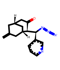 C=C1C[C@@H]2CC(=O)[C@@H]([C@@H](N=[N+]=[N-])c3cccnc3)[C@H](C1)C2